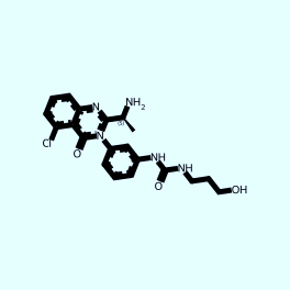 C[C@H](N)c1nc2cccc(Cl)c2c(=O)n1-c1cccc(NC(=O)NCCCO)c1